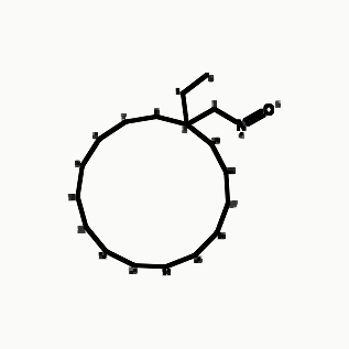 CCC1(CN=O)CCCCCCCCCCCCCC1